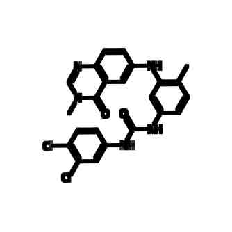 Cc1ccc(NC(=O)Nc2ccc(Cl)c(Cl)c2)cc1Nc1ccc2ncn(C)c(=O)c2c1